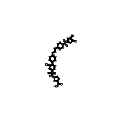 O=C(O)C1CCC(NS(=O)(=O)c2ccc(N3CCC(CCCC4CCN(S(=O)(=O)c5cc(Br)c(Cl)s5)CC4)CC3)c(Cl)c2)C1